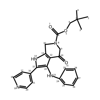 CC(C)(C)COC(=O)N1CC(=O)c2c([nH]c(-c3ccncc3)c2Nc2ccccc2)C1